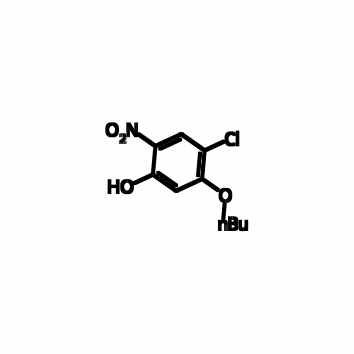 CCCCOc1cc(O)c([N+](=O)[O-])cc1Cl